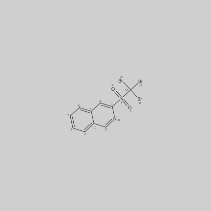 O=S(=O)(c1cc2ccccc2cn1)C(Br)(Br)Br